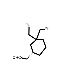 [2H]CC1(C[2H])CCC[C@H](CC=O)C1